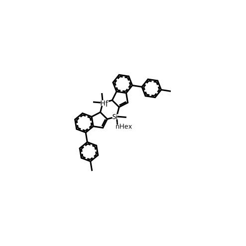 CCCCCC[Si]1(C)C2=Cc3c(-c4ccc(C)cc4)cccc3[CH]2[Hf]([CH3])([CH3])[CH]2C1=Cc1c(-c3ccc(C)cc3)cccc12